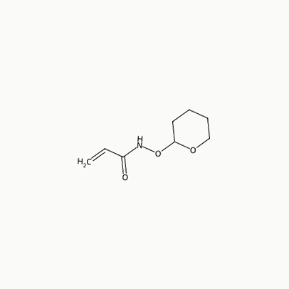 C=CC(=O)NOC1CCCCO1